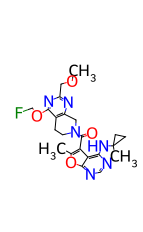 COCc1nc2c(c(OCF)n1)CCN(C(=O)c1c(C)oc3ncnc(NC4(C)CC4)c13)C2